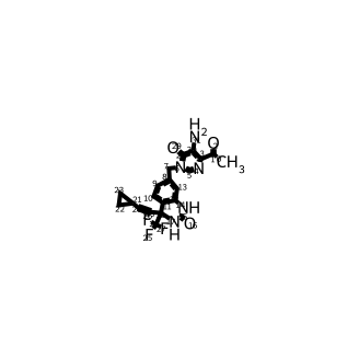 CC(=O)c1ncn(Cc2ccc3c(c2)NC(=O)NC3(C#CC2CC2)C(F)(F)F)c(=O)c1N